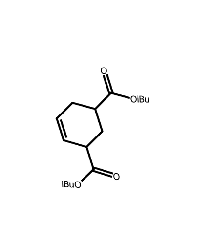 CC(C)COC(=O)C1C=CCC(C(=O)OCC(C)C)C1